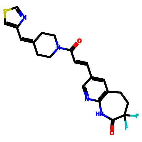 O=C(/C=C/c1cnc2c(c1)CCC(F)(F)C(=O)N2)N1CCC(=Cc2cscn2)CC1